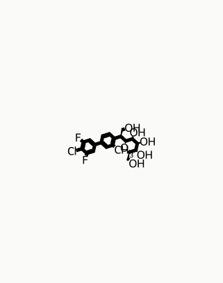 Cc1cc(-c2cc(F)c(Cl)c(F)c2)ccc1[C@@H](CO)[C@H]1O[C@H](CO)[C@@H](O)[C@H](O)[C@@H]1O